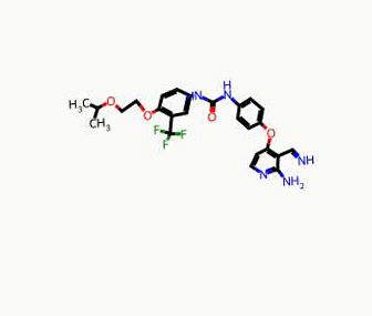 CC(C)OCCOc1ccc(NC(=O)Nc2ccc(Oc3ccnc(N)c3C=N)cc2)cc1C(F)(F)F